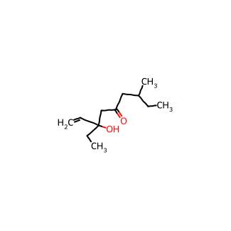 C=CC(O)(CC)CC(=O)CC(C)CC